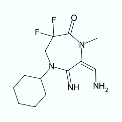 CN1C(=O)C(F)(F)CN(C2CCCCC2)C(=N)/C1=C\N